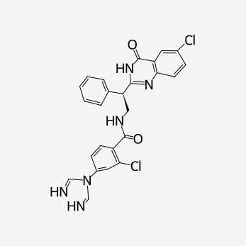 N=CN(C=N)c1ccc(C(=O)NC[C@@H](c2ccccc2)c2nc3ccc(Cl)cc3c(=O)[nH]2)c(Cl)c1